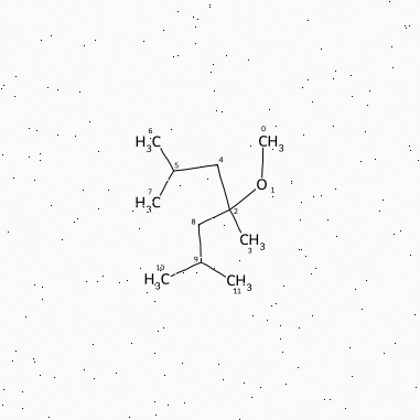 COC(C)(CC(C)C)CC(C)C